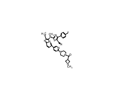 CCc1nc2ccc(-c3ccc(N4CCN(C(=O)C5CN(C)C5)CC4)nc3)cn2c1N(C)c1nc(-c2ccc(F)cc2)c(C#N)s1